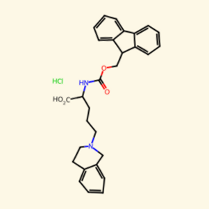 Cl.O=C(NC(CCCN1CCc2ccccc2C1)C(=O)O)OCC1c2ccccc2-c2ccccc21